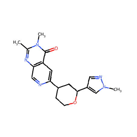 Cc1nc2cnc(C3CCOC(c4cnn(C)c4)C3)cc2c(=O)n1C